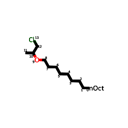 CCCCCCCCCCCCCCCCOC(C)CCl